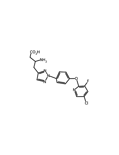 NC(CC(=O)O)Cc1cnn(-c2ccc(Oc3ncc(Cl)cc3F)cc2)n1